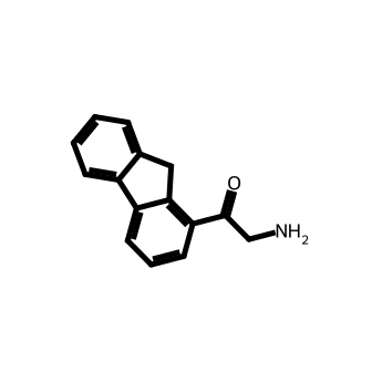 NCC(=O)c1cccc2c1Cc1ccccc1-2